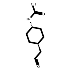 O=CC[C@H]1CC[C@H](NC(=O)O)CC1